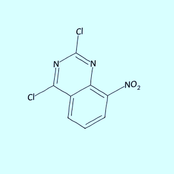 O=[N+]([O-])c1cccc2c(Cl)nc(Cl)nc12